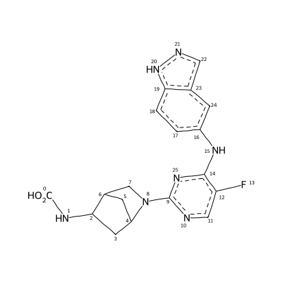 O=C(O)NC1CC2CC1CN2c1ncc(F)c(Nc2ccc3[nH]ncc3c2)n1